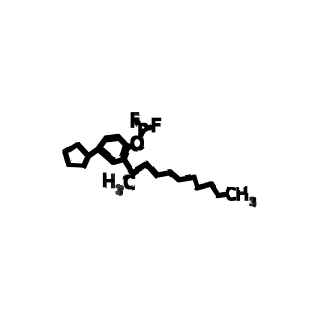 CCCCCCCCCC(C)c1cc(C2CCCC2)ccc1OP(F)F